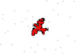 CC(C)(C)c1ccc2c(c1)c1cc(C#N)ccc1n2-c1ccc2c(c1)Sc1cc(-c3ccc([Si](c4ccccc4)(c4ccccc4)c4cccc(-c5ccccc5)c4)cc3)cc3c1B2c1ccc(-c2ccc([Si](c4ccccc4)(c4ccccc4)c4cccc(-c5ccccc5)c4)cc2)cc1N3c1ccc(-c2ccccc2)cc1-c1ccccc1